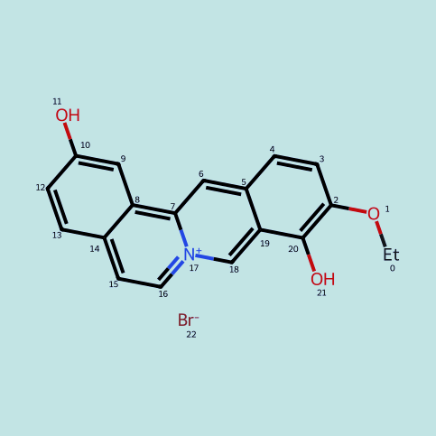 CCOc1ccc2cc3c4cc(O)ccc4cc[n+]3cc2c1O.[Br-]